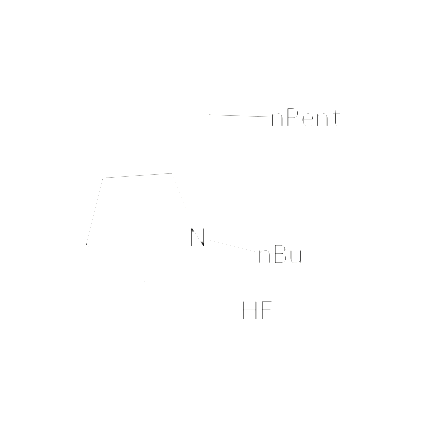 CCCCCC=C1CCCN1CCCC.F